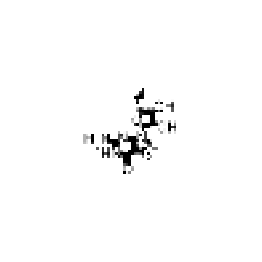 C[n+]1cn([C@@H]2O[C@H](CI)[C@@H](O)[C@H]2O)c2nc(N)[nH]c(=O)c21